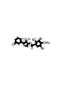 COc1c(Br)cc(C(=O)Nc2csc(-c3cccc(Cl)c3)c2C(=O)O)c(Br)c1Br